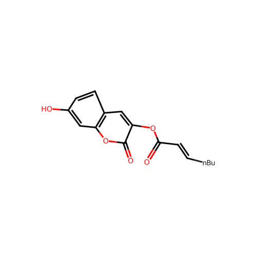 CCCC/C=C/C(=O)Oc1cc2ccc(O)cc2oc1=O